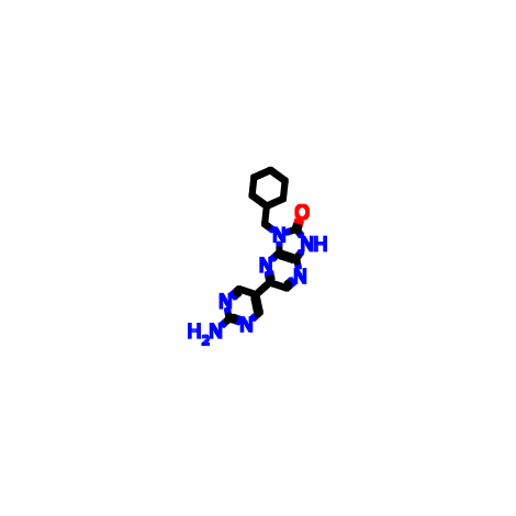 Nc1ncc(-c2cnc3[nH]c(=O)n(CC4CCCCC4)c3n2)cn1